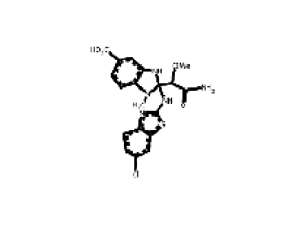 COC(C(N)=O)C1(Nc2nc3ccc(Cl)cc3s2)Nc2cc(C(=O)O)ccc2N1C